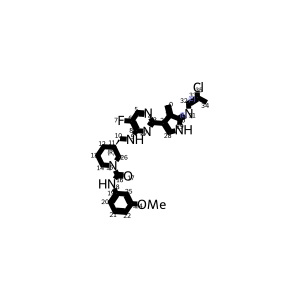 C=C1C(c2ncc(F)c(NC[C@H]3CCCN(C(=O)Nc4cccc(OC)c4)C3)n2)=CN/C1=N/C=C(\C)Cl